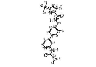 Cc1cc(-c2ccnc(NC(=O)C3CC3)c2)ccc1CNC(=O)c1nn(C(C)(C)C)cc1F